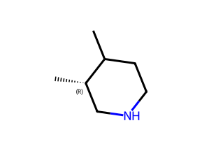 CC1CCNC[C@@H]1C